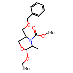 CC1[C@@H](OCC(C)(C)C)OCC(COCc2ccccc2)N1C(=O)OC(C)(C)C